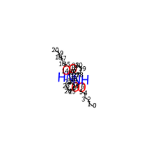 CCCCCCOC(=O)NC(NC(=O)OCCCCCC)(c1ccccc1)c1ccccc1